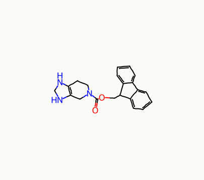 O=C(OCC1c2ccccc2-c2ccccc21)N1CCC2=C(C1)NCN2